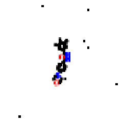 Cc1cc(-c2nnc(-c3ccc(N4CCOCC4)cc3)o2)cc(C)c1C